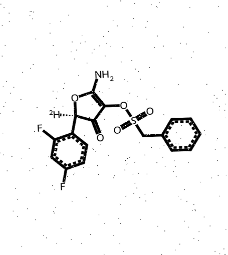 [2H][C@]1(c2ccc(F)cc2F)OC(N)=C(OS(=O)(=O)Cc2ccccc2)C1=O